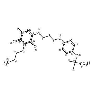 Cn1nc(NCCCOc2ccc(OC(C)(C)C(=O)O)cc2)c(=O)n(CCCC(F)(F)F)c1=O